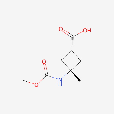 COC(=O)N[C@]1(C)C[C@H](C(=O)O)C1